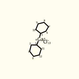 C1CC[CH]([Ga+][CH]2CCCCC2)CC1.[Cl-]